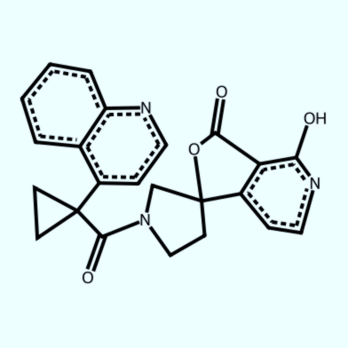 O=C1OC2(CCN(C(=O)C3(c4ccnc5ccccc45)CC3)C2)c2ccnc(O)c21